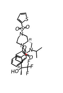 CC(C)N(C[C@H]1CN(S(=O)(=O)c2cccs2)CCN1c1ccc([C@@](C)(O)C(F)(F)F)cc1)S(=O)(=O)c1ccccc1